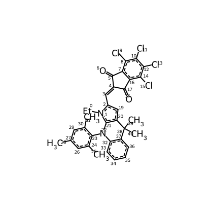 CCn1c(C=C2C(=O)c3c(Cl)c(Cl)c(Cl)c(Cl)c3C2=O)cc2c1N(c1c(C)cc(C)cc1C)c1ccccc1C2(C)C